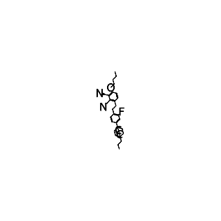 CCCCOc1ccc(CCc2ccc(C34CCC(CCC)(CC3)CC4)cc2F)c(C#N)c1C#N